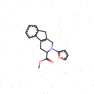 COC(=O)C1CC2=C(Cc3ccccc32)CN1c1ccco1